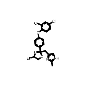 CCC1COC(Cc2c[nH]c(C)n2)(c2ccc(Oc3ccc(Cl)cc3Cl)cc2)O1